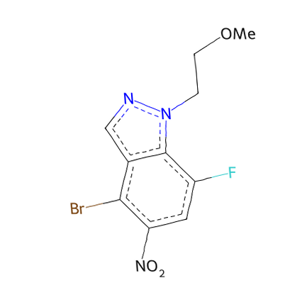 COCCn1ncc2c(Br)c([N+](=O)[O-])cc(F)c21